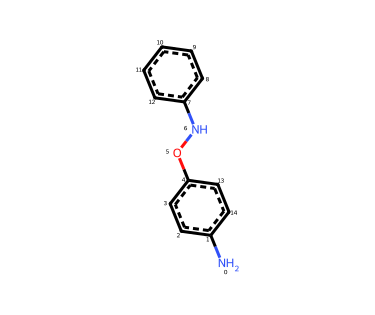 Nc1ccc(ONc2ccccc2)cc1